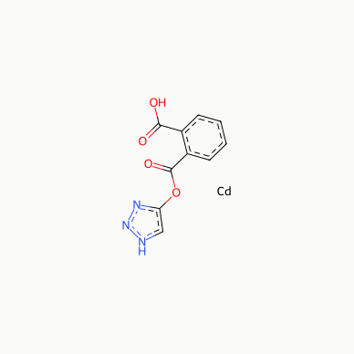 O=C(O)c1ccccc1C(=O)Oc1c[nH]nn1.[Cd]